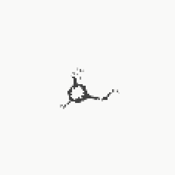 Br.C[CH2][Mg][c]1cc(C)cc(C)c1